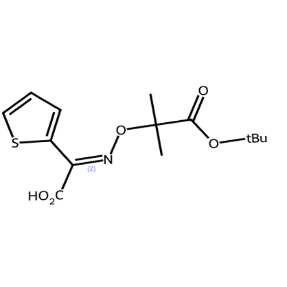 CC(C)(C)OC(=O)C(C)(C)O/N=C(/C(=O)O)c1cccs1